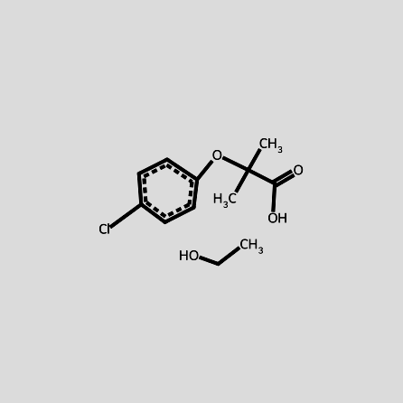 CC(C)(Oc1ccc(Cl)cc1)C(=O)O.CCO